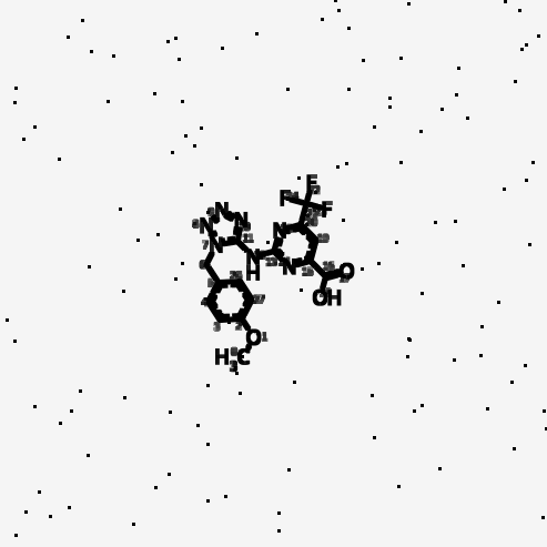 COc1ccc(Cn2nnnc2Nc2nc(C(=O)O)cc(C(F)(F)F)n2)cc1